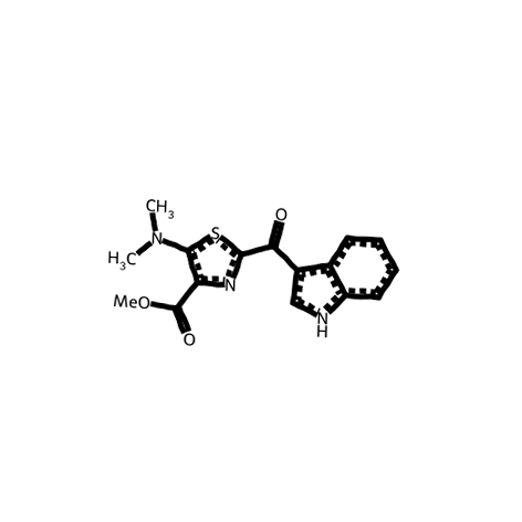 COC(=O)c1nc(C(=O)c2c[nH]c3ccccc23)sc1N(C)C